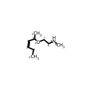 CC/C=C\C(C)OCCNC